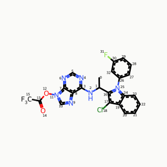 CC(Nc1ncnc2c1ncn2OC(=O)C(F)(F)F)c1c(Cl)c2ccccc2n1-c1cccc(F)c1